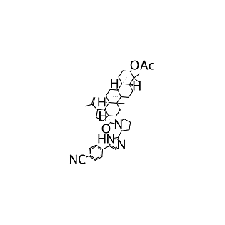 C=C(C)[C@@H]1CC[C@]2(C(=O)N3CCCC3c3ncc(-c4ccc(C#N)cc4)[nH]3)CC[C@]3(C)[C@H](CC[C@@H]4[C@@]5(C)CC[C@H](OC(C)=O)C(C)(C)[C@@H]5CC[C@]43C)[C@@H]12